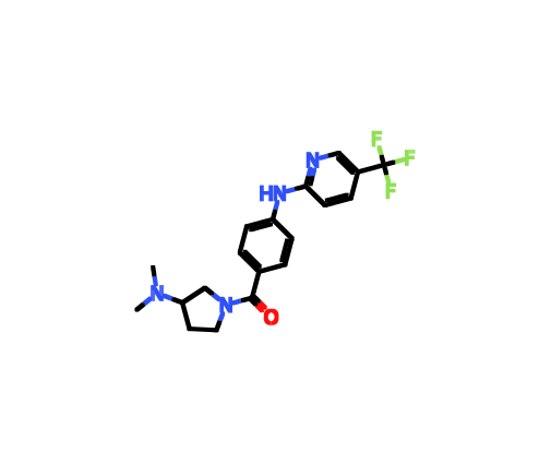 CN(C)C1CCN(C(=O)c2ccc(Nc3ccc(C(F)(F)F)cn3)cc2)C1